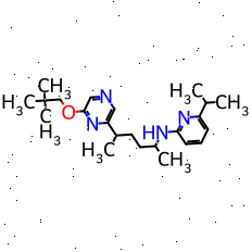 CC(CCC(C)c1cncc(OCC(C)(C)C)n1)Nc1cccc(C(C)C)n1